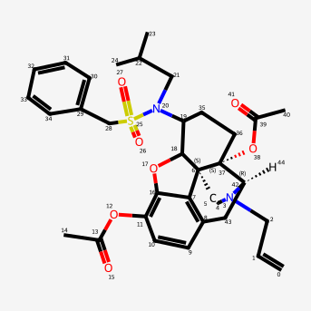 C=CCN1CC[C@]23c4c5ccc(OC(C)=O)c4OC2C(N(CC(C)C)S(=O)(=O)Cc2ccccc2)CC[C@@]3(OC(C)=O)[C@H]1C5